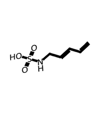 C=CC=CCNS(=O)(=O)O